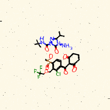 CC(C)c1nn(C(=O)NC(C)(C)C)c(=O)n1N.CS(=O)(=O)c1ccc(C(=O)C2C(=O)CCCC2=O)c(Cl)c1COCC(F)(F)F